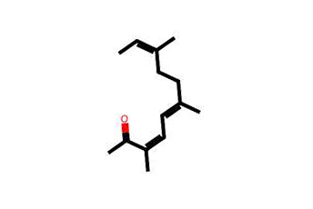 CC=C(C)CCC(C)=CC=C(C)C(C)=O